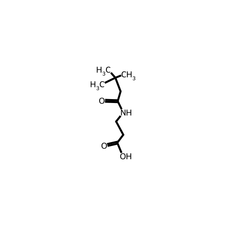 CC(C)(C)CC(=O)NCCC(=O)O